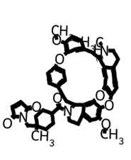 COc1ccc2cc1Oc1ccc(cc1)CC1c3c(cc(OC)c4c3Oc3cc5c(cc3O4)CCN(C)[C@H]5C2)CCN1C(=O)C1CCC(C)(CN2C(=O)C=CC2=O)CC1